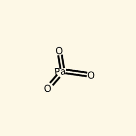 [O]=[Pa](=[O])=[O]